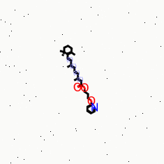 CC1=C(/C=C/C(C)=C/C=C/C(C)=C/C(=O)OCCCOc2ccccn2)C(C)(C)CCC1